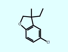 CCC1(C)COc2ccc(Cl)cc21